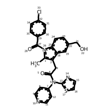 Cc1c(CC(=O)N(c2ccncc2)c2nccs2)c2cc(CO)ccc2n1C(=O)c1ccc(Cl)cc1